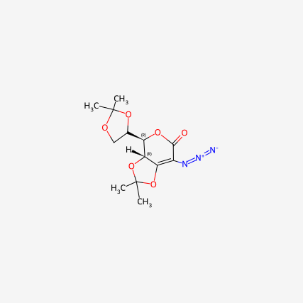 CC1(C)OCC([C@H]2OC(=O)C(N=[N+]=[N-])=C3OC(C)(C)O[C@@H]32)O1